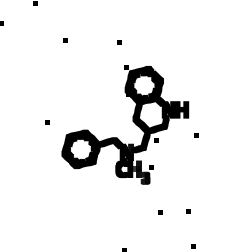 CN(Cc1ccccc1)CC1CNc2ccccc2C1